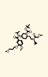 COCCCOc1cc(C(=O)N(C(C)C)[C@@H]2CC[C@H](CCN(C(=O)COC)C3CC3)N(C(=O)OC(C)(C)C)C2)ccc1OC